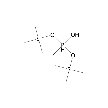 C[Si](C)(C)O[PH](C)(O)O[Si](C)(C)C